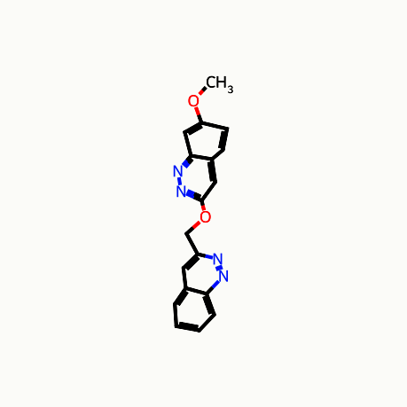 COc1ccc2cc(OCc3cc4ccccc4nn3)nnc2c1